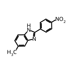 Cc1ccc2[nH]c(-c3ccc([N+](=O)[O-])cc3)nc2c1